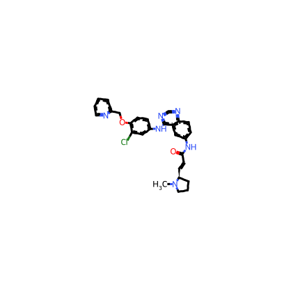 CN1CCC[C@@H]1/C=C/C(=O)Nc1ccc2ncnc(Nc3ccc(OCc4ccccn4)c(Cl)c3)c2c1